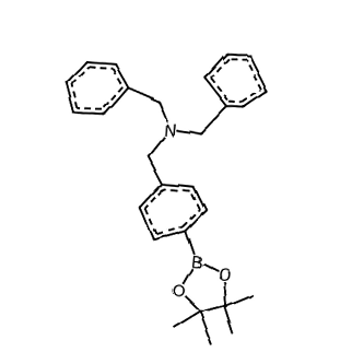 CC1(C)OB(c2ccc(CN(Cc3ccccc3)Cc3ccccc3)cc2)OC1(C)C